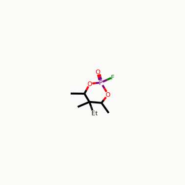 CCC1(C)C(C)OP(=O)(F)OC1C